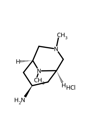 CN1C[C@H]2C[C@@H](N)C[C@@H](C1)N2C.Cl